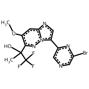 COc1cc2ncc(-c3cncc(Br)n3)n2nc1C(C)(O)C(F)(F)F